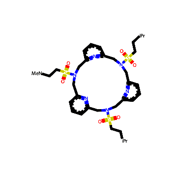 CNCCS(=O)(=O)N1Cc2cccc(n2)CN(S(=O)(=O)CCC(C)C)Cc2cccc(n2)CN(S(=O)(=O)CCC(C)C)Cc2cccc(n2)C1